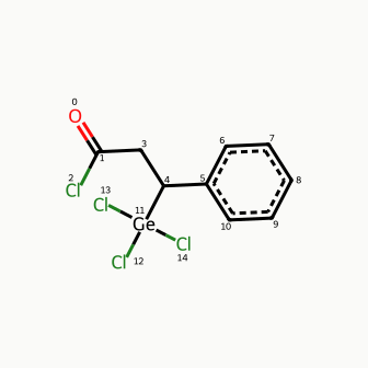 O=C(Cl)C[CH](c1ccccc1)[Ge]([Cl])([Cl])[Cl]